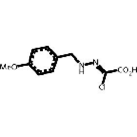 COc1ccc(CNN=C(Cl)C(=O)O)cc1